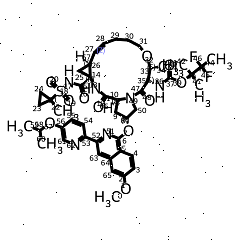 COc1ccc2c(O[C@@H]3C[C@H]4C(=O)N[C@]5(C(=O)NS(=O)(=O)C6(C)CC6)C[C@H]5/C=C\CCCO[C@@H](C)[C@H](NC(=O)OC(C)(C)C(C)(F)F)C(=O)N4C3)nc(-c3ccc(OC(C)C)cn3)cc2c1